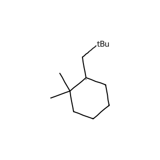 CC(C)(C)C[C]1CCCCC1(C)C